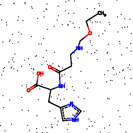 CCOCNCCC(=O)NC(Cc1c[nH]cn1)C(=O)O